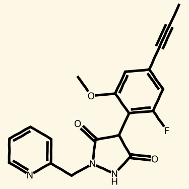 CC#Cc1cc(F)c(C2C(=O)NN(Cc3ccccn3)C2=O)c(OC)c1